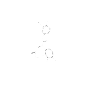 O=C1COc2c(ccc(Cl)c2Cl)C(C(=O)Nc2ccc(Cl)c(Cl)c2)N1